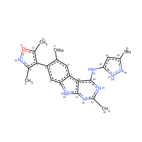 COc1cc2c(cc1-c1c(C)noc1C)[nH]c1nc(C)nc(Nc3cc(C(C)(C)C)n[nH]3)c12